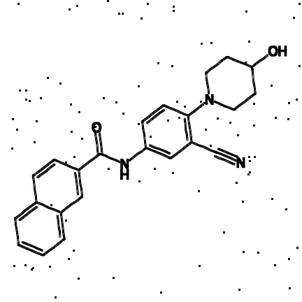 N#Cc1cc(NC(=O)c2ccc3ccccc3c2)ccc1N1CCC(O)CC1